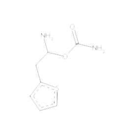 NC(=O)OC(N)Cc1cccs1